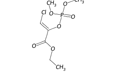 CCOC(=O)C(=CCl)OP(=O)(OC)OC